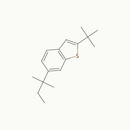 CCC(C)(C)c1ccc2cc(C(C)(C)C)sc2c1